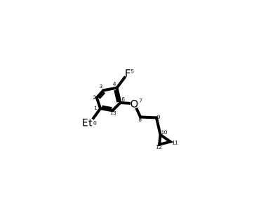 CCc1ccc(F)c(OCCC2CC2)c1